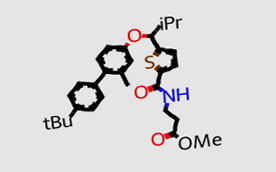 COC(=O)CCNC(=O)c1ccc(C(Oc2ccc(-c3ccc(C(C)(C)C)cc3)c(C)c2)C(C)C)s1